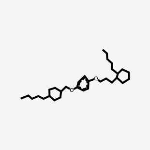 CCCCCC1CCC(COc2ccc(OCCCC3CCCCC3CCCCC)cc2)CC1